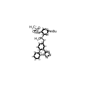 CCCCc1ncc(NS(C)(=O)=O)c(N(C)Cc2ccc(-c3ccccc3)c(-c3nnn[nH]3)c2)n1